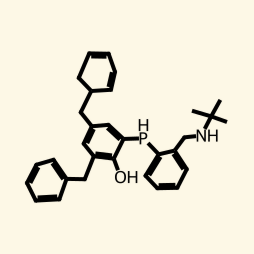 CC(C)(C)NCc1ccccc1Pc1cc(CC2C=CC=CC2)cc(Cc2ccccc2)c1O